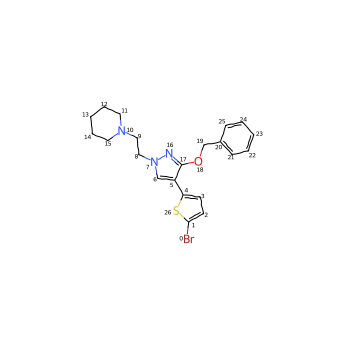 Brc1ccc(-c2cn(CCN3CCCCC3)nc2OCc2ccccc2)s1